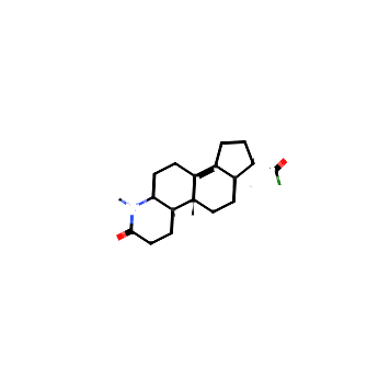 CN1C(=O)CC[C@@]2(C)C1CCC1=C3CC[C@H](C(=O)Cl)[C@@]3(C)CC[C@@H]12